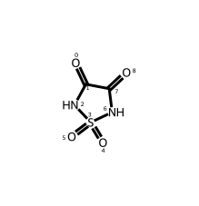 O=C1NS(=O)(=O)NC1=O